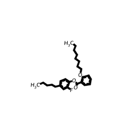 CCCCCCCCOc1ccccc1C(=O)Oc1ccc(CCCCC)cc1F